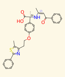 C/C(=C/C(=O)c1ccccc1)N[C@](C)(C(=O)O)c1ccc(OCCc2nc(-c3ccccc3)sc2C)cc1